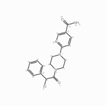 CCC(C(=O)N1CCN(c2ccc(C(N)=O)cn2)CC1)c1ccccc1